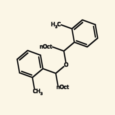 CCCCCCCCC(OC(CCCCCCCC)c1ccccc1C)c1ccccc1C